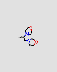 [CH2]C(CN1CCOCC1)N1CCOCC1